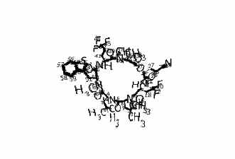 CC(C)C[C@@H]1NC(=O)[C@H](CC(C)C)N(C)C(=O)[C@H](CC(F)(F)F)NC(=O)[C@@H](CCC#N)OC(=O)[C@H](C)N(C)C(=O)[C@H](CCC(F)(F)F)NC(=O)[C@H](Cc2csc3ccccc23)N(C)C1=O